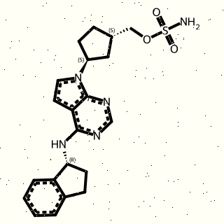 NS(=O)(=O)OC[C@H]1CC[C@H](n2ccc3c(N[C@@H]4CCc5ccccc54)ncnc32)C1